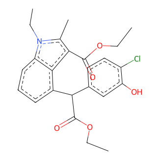 CCOC(=O)c1c(C)n(CC)c2cccc(C(C(=O)OCC)c3ccc(Cl)c(O)c3)c12